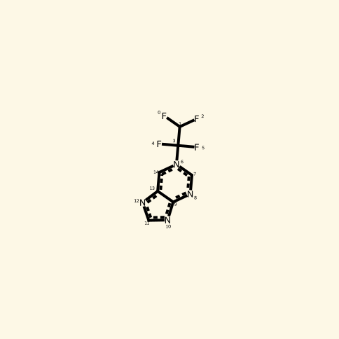 FC(F)C(F)(F)n1cnc2ncnc-2c1